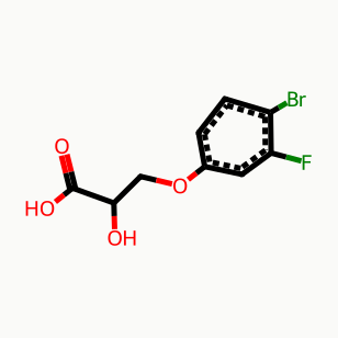 O=C(O)C(O)COc1ccc(Br)c(F)c1